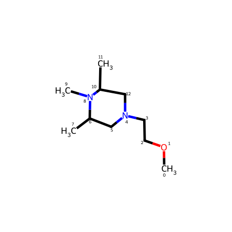 COCCN1CC(C)N(C)C(C)C1